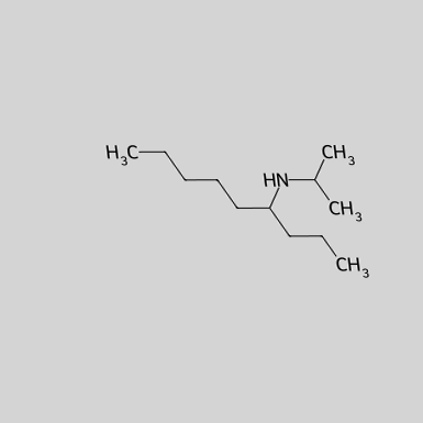 CCCCCC(CCC)NC(C)C